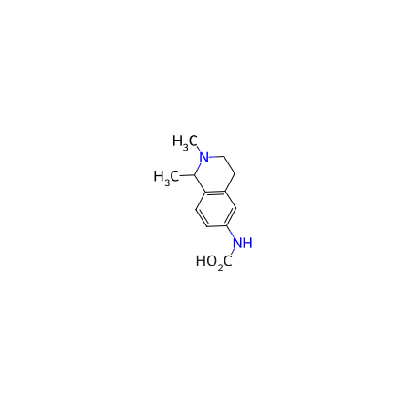 CC1c2ccc(NC(=O)O)cc2CCN1C